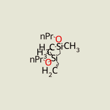 C=C[Si](C)(C[Si](C)(C)OCCC)OCCC